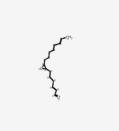 CCCCCCCCC1OC1CCCCCC=O